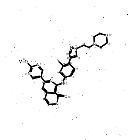 COc1ncc(-c2cc3cc[nH]c(=O)c3c(Nc3ccc(-c4cnn(CCN5CCOCC5)c4)c(C)c3)n2)cn1